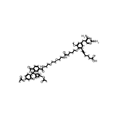 COc1cc(Cc2cnc(N)nc2N)cc(C#CCCCC(=O)O)c1OCCCCC(=O)NCCOCCOCCNC(=O)c1ccc2c(c1)C1(OC2=O)c2ccc(OC(C)=O)cc2Oc2cc(OC(C)=O)ccc21